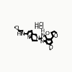 COCCNc1ccc2c(n1)CCN(c1nc3cc(OC)cc(C4CCCO4)c3c(=O)[nH]1)C2.Cl.Cl